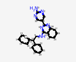 Nc1ncc(-c2nc(NCC(c3ccccc3)c3ccccc3)c3ccccc3n2)cn1